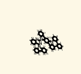 c1ccc2c(c1)-c1ccccc1-n1c3cc4c5ccccc5n(-c5nc(-n6c7ccccc7c7ccccc76)c6ccccc6n5)c4cc3c3cccc-2c31